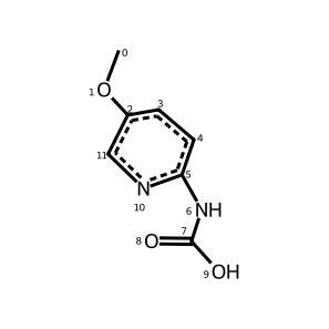 COc1ccc(NC(=O)O)nc1